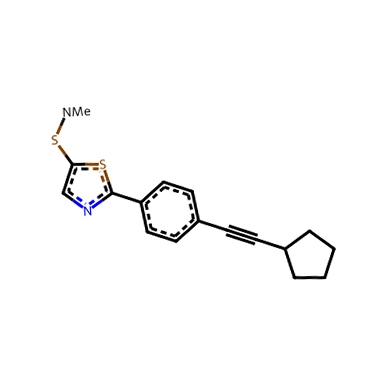 CNSc1cnc(-c2ccc(C#CC3CCCC3)cc2)s1